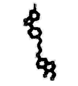 O=Cc1coc2cc(OCCCN3CCC(c4noc5cc(F)ccc45)CC3)ccc2c1=O